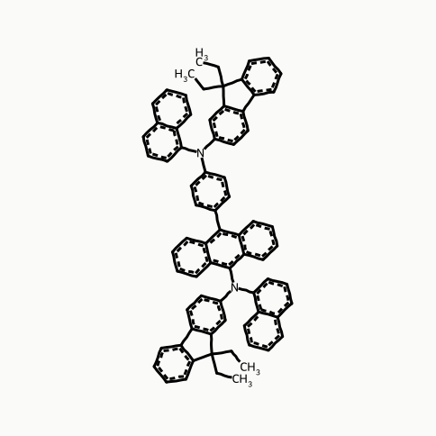 CCC1(CC)c2ccccc2-c2ccc(N(c3ccc(-c4c5ccccc5c(N(c5ccc6c(c5)C(CC)(CC)c5ccccc5-6)c5cccc6ccccc56)c5ccccc45)cc3)c3cccc4ccccc34)cc21